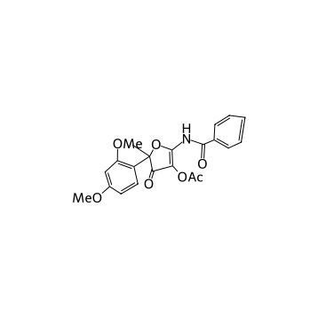 COc1ccc(C2(C)OC(NC(=O)c3ccccc3)=C(OC(C)=O)C2=O)c(OC)c1